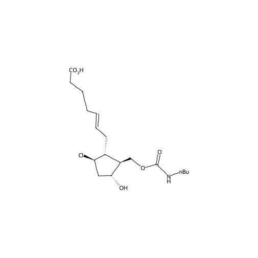 CCCCNC(=O)OC[C@@H]1[C@@H](CC=CCCCC(=O)O)[C@H](Cl)C[C@H]1O